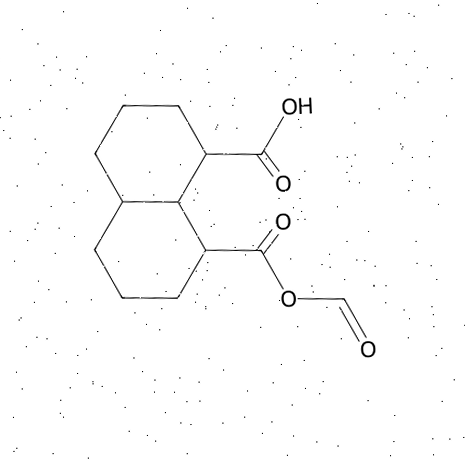 O=COC(=O)C1CCCC2CCCC(C(=O)O)C21